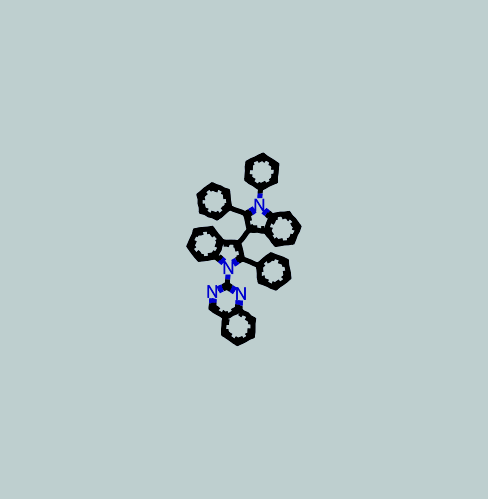 c1ccc(-c2c(-c3c(-c4ccccc4)n(-c4ncc5ccccc5n4)c4ccccc34)c3ccccc3n2-c2ccccc2)cc1